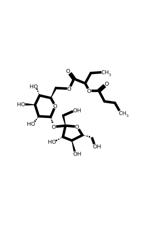 CCCC(=O)OC(CC)C(=O)OC[C@H]1O[C@H](O[C@]2(CO)O[C@H](CO)[C@@H](O)[C@@H]2O)[C@H](O)[C@@H](O)[C@@H]1O